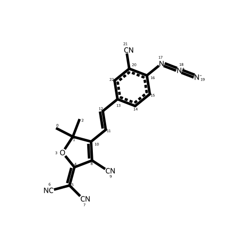 CC1(C)OC(=C(C#N)C#N)C(C#N)=C1/C=C/c1ccc(N=[N+]=[N-])c(C#N)c1